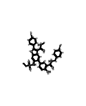 CCS(=O)(=O)Nc1cc2oc(-c3ccc(F)cc3)c(C(=O)NC)c2cc1-c1ccc(O)c(C(=O)NCc2ccc(F)cc2)n1